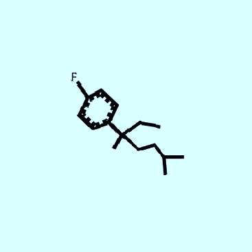 CCC(C)(CCC(C)C)c1ccc(F)cc1